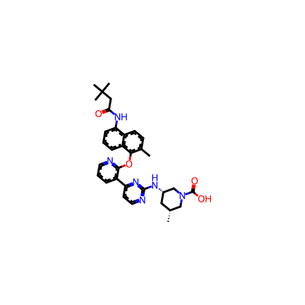 Cc1ccc2c(NC(=O)CC(C)(C)C)cccc2c1Oc1ncccc1-c1ccnc(N[C@H]2C[C@@H](C)CN(C(=O)O)C2)n1